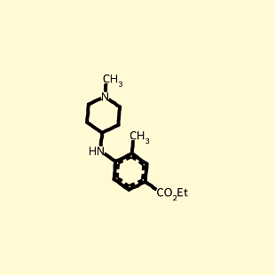 CCOC(=O)c1ccc(NC2CCN(C)CC2)c(C)c1